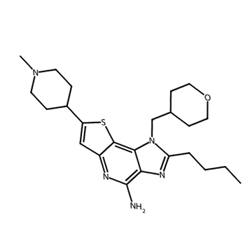 CCCCc1nc2c(N)nc3cc(C4CCN(C)CC4)sc3c2n1CC1CCOCC1